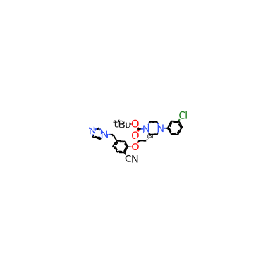 CC(C)(C)OC(=O)N1CCN(c2cccc(Cl)c2)C[C@@H]1CCOc1cc(Cn2ccnc2)ccc1C#N